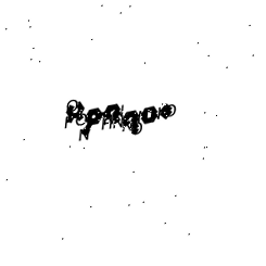 COc1nc(Nc2nccc(-c3ccc(OC4CCOCC4F)c(C#N)c3)n2)ccc1N1CCN(C2COC2)CC1